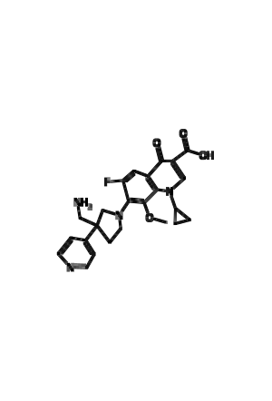 COc1c(N2CCC(CN)(c3ccncc3)C2)c(F)cc2c(=O)c(C(=O)O)cn(C3CC3)c12